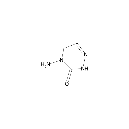 NN1CC=NNC1=O